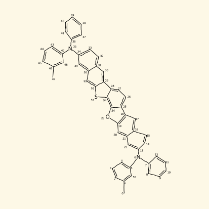 Cc1cccc(N(c2ccccc2)c2ccc3cc4c(cc3c2)oc2c4ccc3c4cc5ccc(N(c6ccccc6)c6cccc(C)c6)cc5cc4sc32)c1